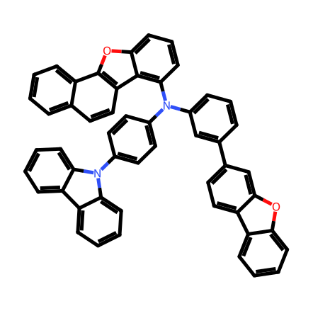 c1cc(-c2ccc3c(c2)oc2ccccc23)cc(N(c2ccc(-n3c4ccccc4c4ccccc43)cc2)c2cccc3oc4c5ccccc5ccc4c23)c1